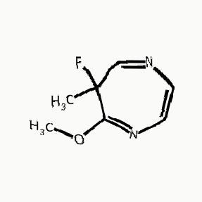 COC1=NC=CN=CC1(C)F